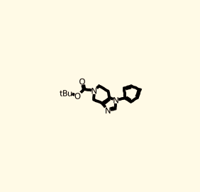 CC(C)(C)OC(=O)N1CCc2c(ncn2-c2ccccc2)C1